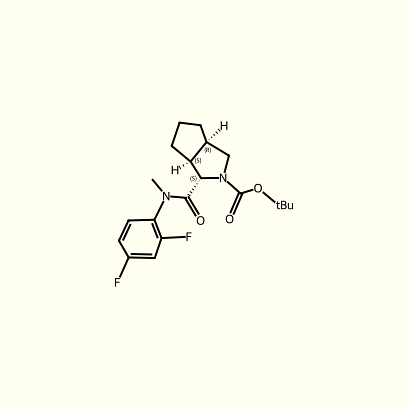 CN(C(=O)[C@@H]1[C@H]2CCC[C@H]2CN1C(=O)OC(C)(C)C)c1ccc(F)cc1F